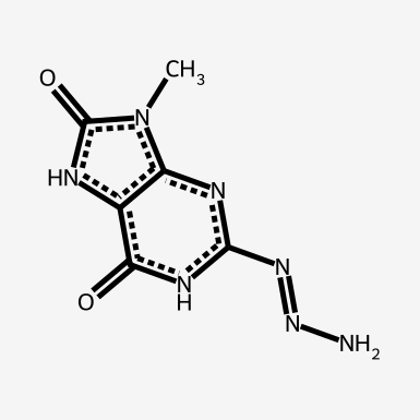 Cn1c(=O)[nH]c2c(=O)[nH]c(N=NN)nc21